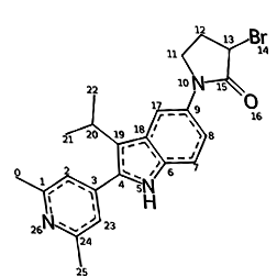 Cc1cc(-c2[nH]c3ccc(N4CCC(Br)C4=O)cc3c2C(C)C)cc(C)n1